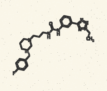 CCn1nnc(-c2cccc(NC(=O)NCCCN3CCC[C@@H](Cc4ccc(F)cc4)C3)c2)n1